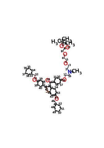 CN(CCOCCOCC(=O)OC(C)(C)C)CCOc1ccc(C(=O)c2c(-c3ccc(OCc4ccccc4)cc3)sc3cc(OCc4ccccc4)ccc23)cc1